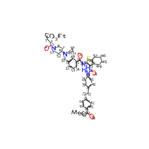 CCOC(=O)CCC(=O)N1CCC(N(Cc2cccc(C(=O)Nc3sc4c(c3C(=O)Nc3ccc(CCc5ccc(C(=O)OC)cc5)cc3)CCCC4)c2)C2CC2)CC1